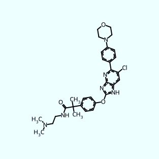 CN(C)CCNC(=O)C(C)(C)c1ccc(Oc2nc3nc(-c4ccc(N5CCOCC5)cc4)c(Cl)cc3[nH]2)cc1